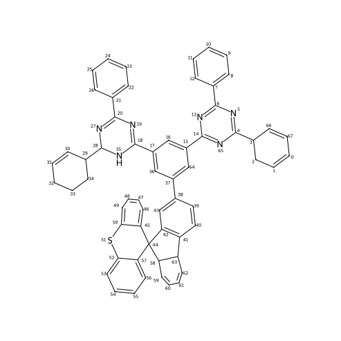 C1=CCC(c2nc(-c3ccccc3)nc(-c3cc(C4=NC(c5ccccc5)=NC(C5C=CCCC5)N4)cc(-c4ccc5c(c4)C4(c6ccccc6Sc6ccccc64)C4C=CC=CC54)c3)n2)C=C1